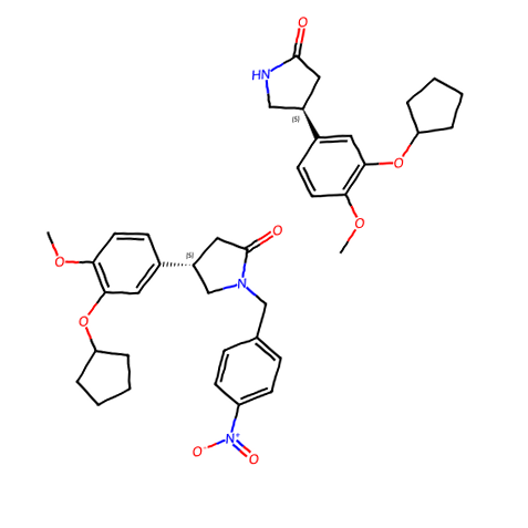 COc1ccc([C@@H]2CC(=O)N(Cc3ccc([N+](=O)[O-])cc3)C2)cc1OC1CCCC1.COc1ccc([C@H]2CNC(=O)C2)cc1OC1CCCC1